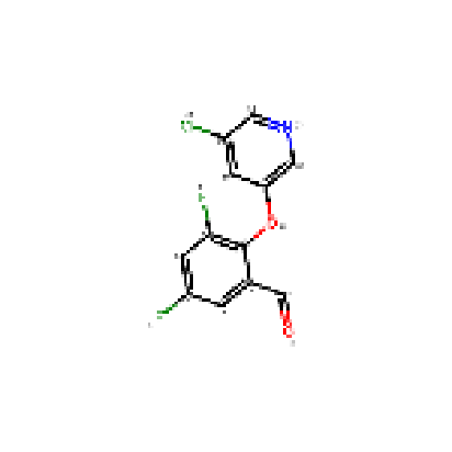 O=Cc1cc(F)cc(F)c1Oc1cncc(Cl)c1